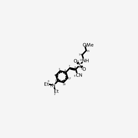 CCN(CC)c1ccc(/C=C(\C#N)S(=O)(=O)NCCOC)cc1